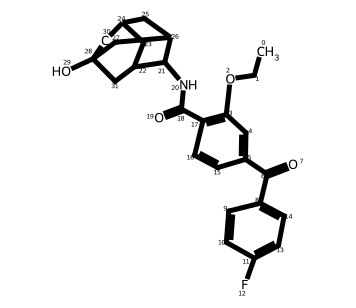 CCOc1cc(C(=O)c2ccc(F)cc2)ccc1C(=O)NC1C2CC3CC1CC(O)(C3)C2